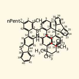 CCCCCc1cc(C)c(Bc2cccc3c2Cc2ccccc2C32c3ccccc3-c3ccccc32)c(-c2cc3sc4ccccc4c3cc2Nc2ccc3c(c2)C(C)(C)CCC3(C)C)c1